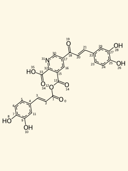 O=C(C=Cc1ccc(O)c(O)c1)OC(=O)c1cc(C(=O)C=Cc2ccc(O)c(O)c2)cnc1C(=O)O